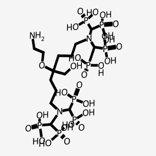 NCCOC(CO)(CCCN(C(P(=O)(O)O)P(=O)(O)O)C(P(=O)(O)O)P(=O)(O)O)CCCN(C(P(=O)(O)O)P(=O)(O)O)C(P(=O)(O)O)P(=O)(O)O